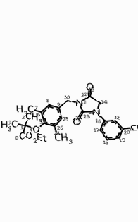 CCOC(=O)C(C)(C)Oc1c(C)cc(CN2C(=O)CN(c3cccc(Cl)c3)C2=O)cc1C